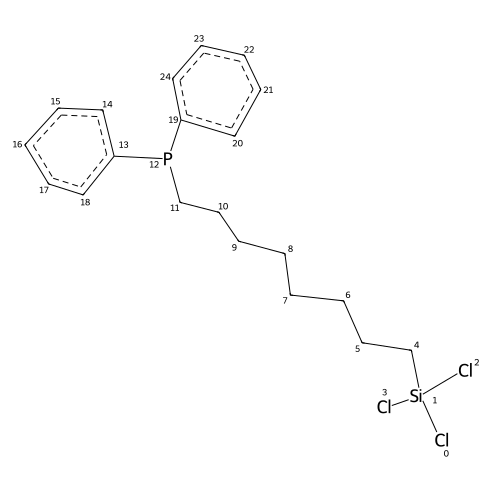 Cl[Si](Cl)(Cl)CCCCCCCCP(c1ccccc1)c1ccccc1